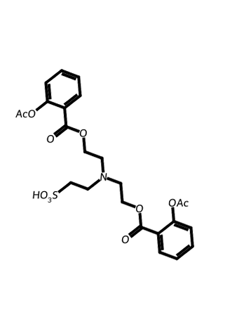 CC(=O)Oc1ccccc1C(=O)OCCN(CCOC(=O)c1ccccc1OC(C)=O)CCS(=O)(=O)O